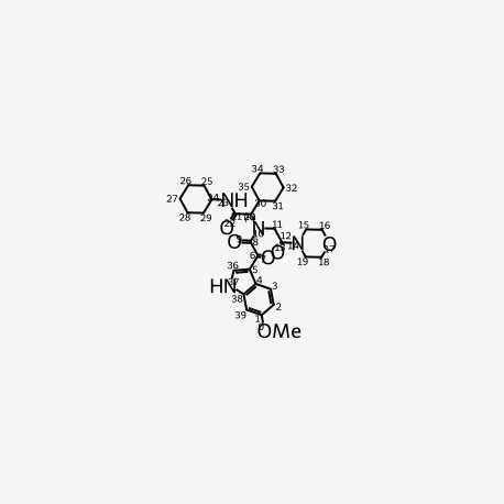 COc1ccc2c(C(=O)C(=O)N(CC(=O)N3CCOCC3)[C@@H](C(=O)NC3CCCCC3)C3CCCCC3)c[nH]c2c1